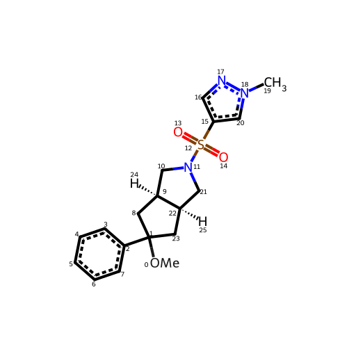 COC1(c2ccccc2)C[C@H]2CN(S(=O)(=O)c3cnn(C)c3)C[C@H]2C1